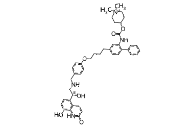 C[N+]1(C)CCC(OC(=O)Nc2cc(CCCCOc3ccc(CNC[C@@H](O)c4ccc(O)c5[nH]c(=O)ccc45)cc3)ccc2-c2ccccc2)CC1